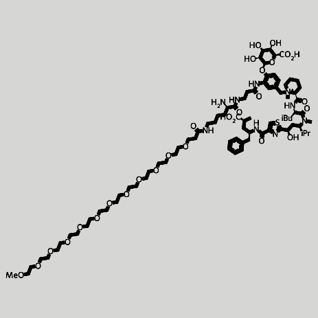 CC[C@H](C)[C@H](NC(=O)[C@H]1CCCC[N+]1(C)Cc1ccc(O[C@@H]2O[C@H](C(=O)O)[C@@H](O)[C@H](O)[C@H]2O)c(NC(=O)CCNC(=O)[C@@H](N)CCCCNC(=O)CCOCCOCCOCCOCCOCCOCCOCCOCCOCCOCCOCCOC)c1)C(=O)N(C)[C@H](C[C@@H](O)c1nc(C(=O)N[C@@H](Cc2ccccc2)C[C@H](C)C(=O)O)cs1)C(C)C